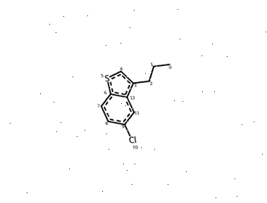 CCCc1csc2ccc(Cl)cc12